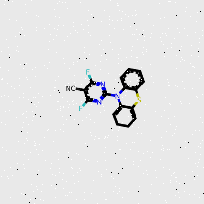 N#Cc1c(F)nc(N2C3=CCCC=C3Sc3ccccc32)nc1F